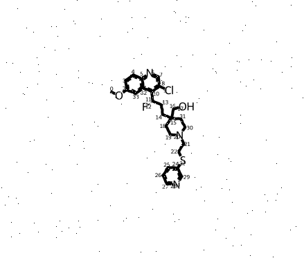 COc1ccc2ncc(Cl)c([C@@H](F)CCC3(CO)CCN(CCSc4cccnc4)CC3)c2c1